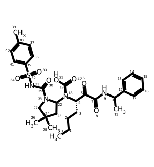 CCCC[C@@H](C(=O)C(=O)NC(C)c1ccccc1)N(C(=O)O)C1CC(C)(C)CN1C(=O)NS(=O)(=O)c1ccc(C)cc1